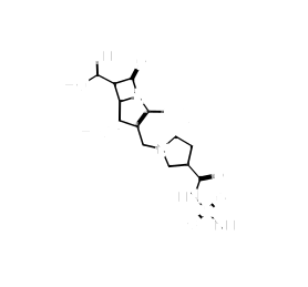 CC(O)C1C(=O)N2C(C(=O)O)=C(CN3CCC(C(=O)NS(N)(=O)=O)C3)[C@H](C)C12